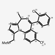 CNCc1cnc2n1-c1ccc(C(F)(F)F)cc1C(c1ccccc1Cl)=NC2C